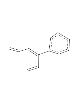 C=C/C=C(\C=C)c1ccccc1